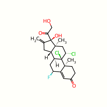 C=C1C[C@H]2[C@@H]3C[C@H](F)C4=CC(=O)CC[C@]4(C)[C@@]3(Cl)[C@@H](Cl)C[C@]2(C)[C@@]1(O)C(=O)CO